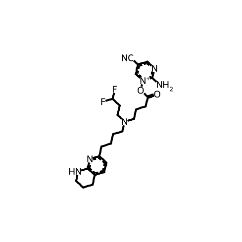 N#Cc1cnc(N)[n+](OC(=O)CCCN(CCCCc2ccc3c(n2)NCCC3)CCC(F)F)c1